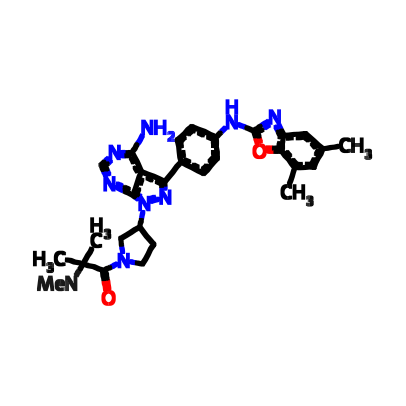 CNC(C)(C)C(=O)N1CCC(n2nc(-c3ccc(Nc4nc5cc(C)cc(C)c5o4)cc3)c3c(N)ncnc32)C1